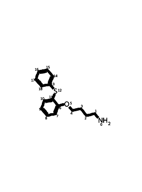 NCCCCOc1ccccc1Sc1ccccc1